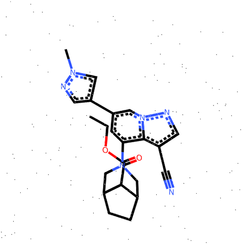 CCOC(=O)C1C2CCC1CN(c1cc(-c3cnn(C)c3)cn3ncc(C#N)c13)C2